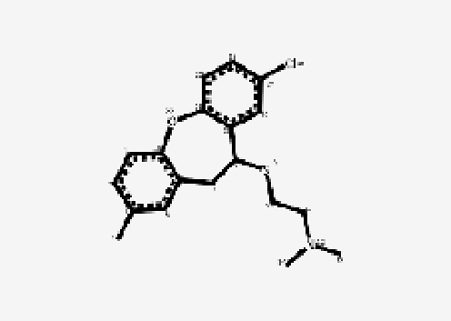 Cc1ccc2c(c1)CC(SCCN(C)C)c1cc(Cl)ccc1O2